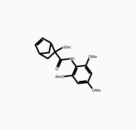 CCCCCCCCCCC1(C(=O)Nc2c(OC)cc(OC)cc2OC)CC2C=CC1C2